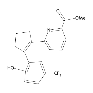 COC(=O)c1cccc(C2=C(c3cc(C(F)(F)F)ccc3O)CCC2)n1